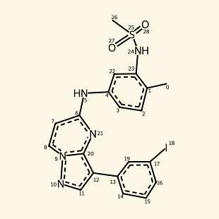 Cc1ccc(Nc2ccn3ncc(-c4cccc(I)c4)c3n2)cc1NS(C)(=O)=O